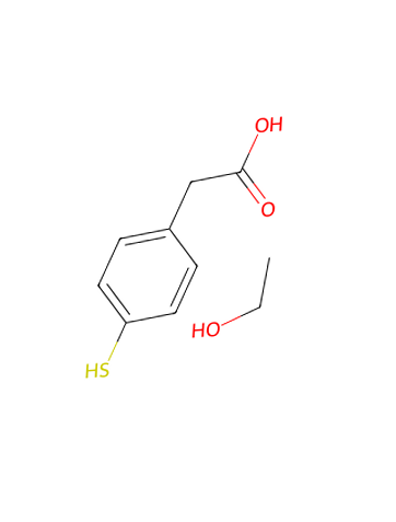 CCO.O=C(O)Cc1ccc(S)cc1